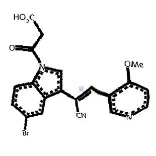 COc1ccncc1/C=C(\C#N)c1cn(C(=O)CC(=O)O)c2ccc(Br)cc12